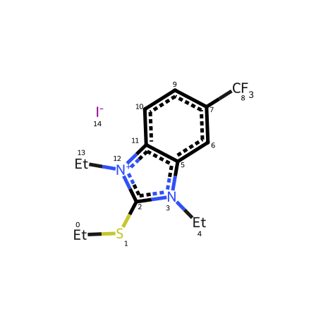 CCSc1n(CC)c2cc(C(F)(F)F)ccc2[n+]1CC.[I-]